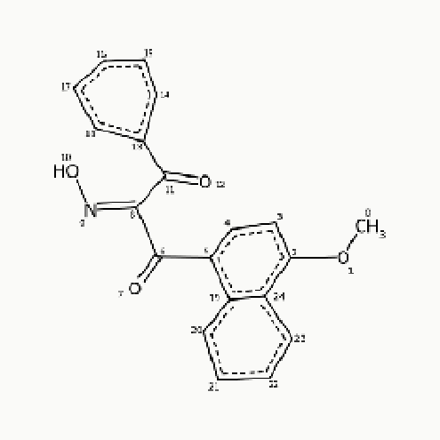 COc1ccc(C(=O)/C(=N/O)C(=O)c2ccccc2)c2ccccc12